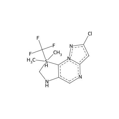 C[SH]1(C)(C(F)(F)F)CNc2cnc3cc(Cl)nn3c21